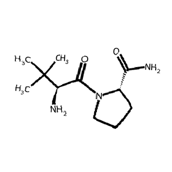 CC(C)(C)[C@H](N)C(=O)N1CCC[C@H]1C(N)=O